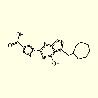 O=C(O)c1cnn(-c2nc(O)c3c(cnn3CC3CCCCCC3)n2)c1